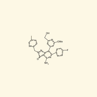 COc1cc(-c2c(-c3ccc(F)cc3)nc(N)n3c(=O)n(Cc4ccc(C)cn4)nc23)cc(CO)n1